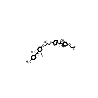 Cc1ccc(C(C)(C)c2ccc(OCC(O)COc3ccc(C(C)(C)c4ccc(OCC5CO5)cc4)cc3)cc2)cc1